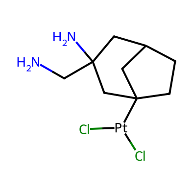 NCC1(N)CC2CC[C]([Pt]([Cl])[Cl])(C2)C1